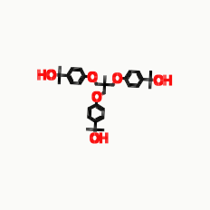 CC(COc1ccc(C(C)(C)O)cc1)(COc1ccc(C(C)(C)O)cc1)COc1ccc(C(C)(C)O)cc1